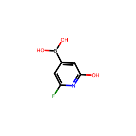 OB(O)c1cc(O)nc(F)c1